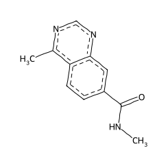 CNC(=O)c1ccc2c(C)ncnc2c1